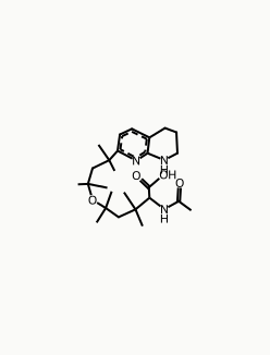 CC(=O)NC(C(=O)O)C(C)(C)CC(C)(C)OC(C)(C)CC(C)(C)c1ccc2c(n1)NCCC2